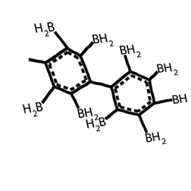 Bc1c(B)c(B)c(-c2c(B)c(B)c(C)c(B)c2B)c(B)c1B